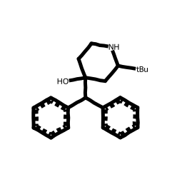 CC(C)(C)C1CC(O)(C(c2ccccc2)c2ccccc2)CCN1